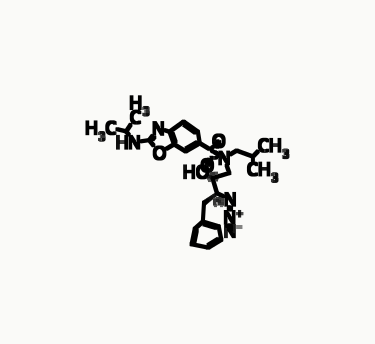 CC(C)CN(C[C@@H](O)[C@H](Cc1ccccc1)N=[N+]=[N-])S(=O)(=O)c1ccc2nc(NC(C)C)oc2c1